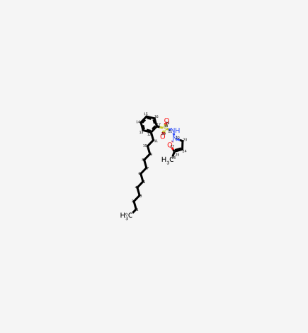 CCCCCCCCCCCCc1ccccc1S(=O)(=O)NN1CC=C(C)O1